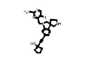 Nc1ncc(Cl)c(CN2CC3(CCNC3)c3ccc(C#CC4(O)CCCC4)cc32)n1